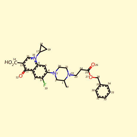 CC1CN(c2cc3c(cc2F)c(=O)c(C(=O)O)cn3C2CC2)CCN1CCC(=O)OCc1ccccc1